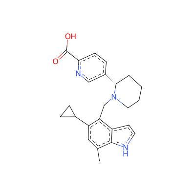 Cc1cc(C2CC2)c(CN2CCCC[C@H]2c2ccc(C(=O)O)nc2)c2cc[nH]c12